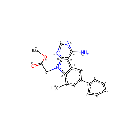 Cc1cc(-c2ccccc2)cc2c3c(N)ncnc3n(CC(=O)OC(C)(C)C)c12